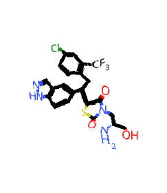 N[C@@H](CO)CN1C(=O)S/C(=C(/Cc2ccc(Cl)cc2C(F)(F)F)c2ccc3[nH]ncc3c2)C1=O